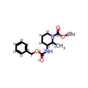 CC1C(NC(=O)OCc2ccccc2)CCCN1C(=O)OC(C)(C)C